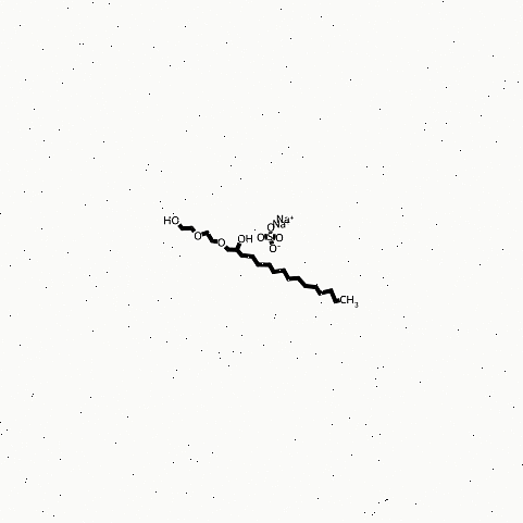 CCCCCCCCCCCCCCC(O)COCCOCCO.O=S(=O)([O-])[O-].[Na+].[Na+]